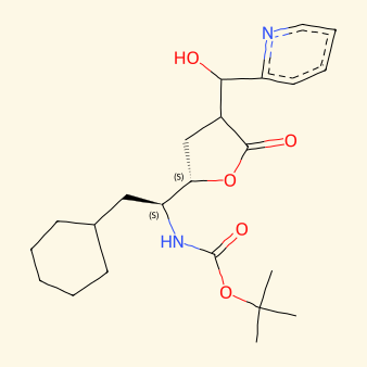 CC(C)(C)OC(=O)N[C@@H](CC1CCCCC1)[C@@H]1CC(C(O)c2ccccn2)C(=O)O1